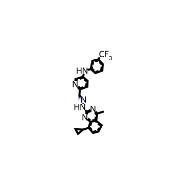 Cc1nc(N/N=C/c2ccc(Nc3cccc(C(F)(F)F)c3)cn2)nc2c(C3CC3)cccc12